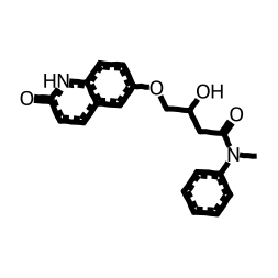 CN(C(=O)CC(O)COc1ccc2[nH]c(=O)ccc2c1)c1ccccc1